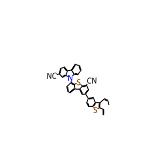 C=Cc1sc2ccc(-c3cc(C#N)c4sc5c(-n6c7ccccc7c7ccc(C#N)cc76)cccc5c4c3)cc2c1/C=C\C